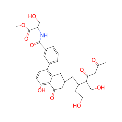 COC(=O)C(CO)NC(=O)c1cccc(-c2ccc(O)c3c2CC(CC(CCO)C(CO)C(=O)CC(C)=O)CC3=O)c1